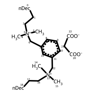 CCCCCCCCCCCC[N+](C)(C)Cc1cccc(C[N+](C)(C)CCCCCCCCCCCC)c1.O=C([O-])CC(=O)[O-]